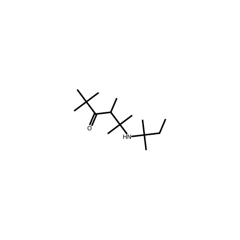 CCC(C)(C)NC(C)(C)C(C)C(=O)C(C)(C)C